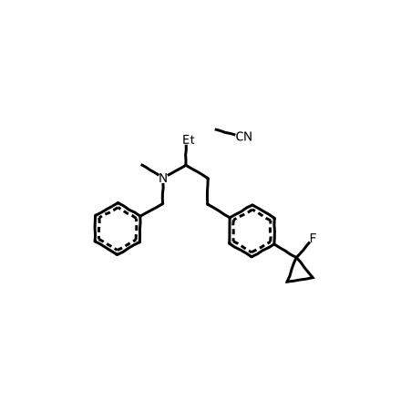 CC#N.CCC(CCc1ccc(C2(F)CC2)cc1)N(C)Cc1ccccc1